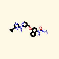 NC(=O)Nc1ccc(OCc2ccnc(Nc3cncc(C4CC4)n3)c2)c2ccccc12